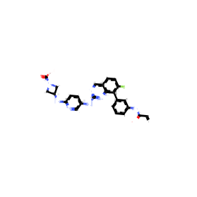 C=CC(=O)Nc1cccc(-c2c(F)ccc3cnc(Nc4ccc(NC5CN(C(=O)O)C5)nc4)nc23)c1